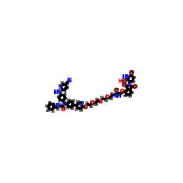 N#Cc1ccc(N[C@H]2CC[C@H](N(C(=O)NCc3ccccc3)c3ccc(-c4ccc(OCCOCCOCCOCCNC(=O)COc5cccc6c5C(=O)N(C5CCC(=O)NC5O)C6=O)nc4)cc3)CC2)nc1